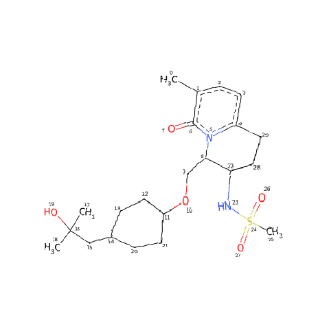 Cc1ccc2n(c1=O)C(COC1CCC(CC(C)(C)O)CC1)C(NS(C)(=O)=O)CC2